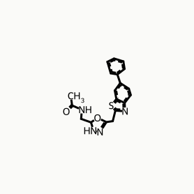 CC(=O)NCC1NN=C(Cc2nc3ccc(-c4ccccc4)cc3s2)O1